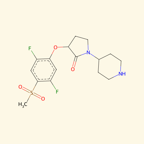 CS(=O)(=O)c1cc(F)c(OC2CCN(C3CCNCC3)C2=O)cc1F